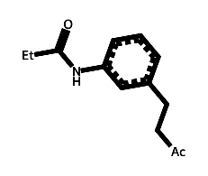 CCC(=O)Nc1cccc(CCC(C)=O)c1